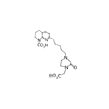 CCOC(=O)CN1CCN(CCCCCc2ccc3c(n2)N(C(=O)O)CCC3)CC1=O